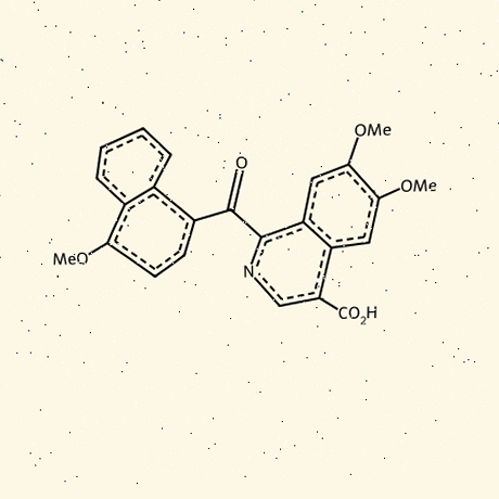 COc1cc2c(C(=O)O)cnc(C(=O)c3ccc(OC)c4ccccc34)c2cc1OC